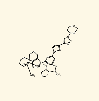 C[C@H](Oc1cc(-n2ccc(-c3cn(C4CCOCC4)nn3)n2)nc(-c2noc3c2CCC[C@@]32CCCc3sc(N)c(C#N)c32)n1)[C@@H]1CCCN1C